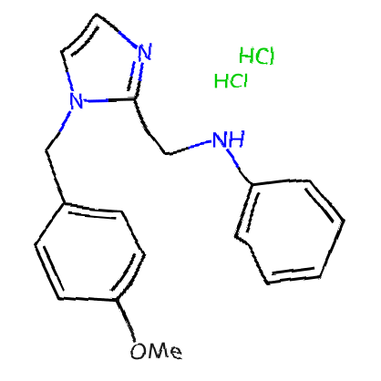 COc1ccc(Cn2ccnc2CNc2ccccc2)cc1.Cl.Cl